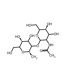 CC(=O)NC1C(OC2C(O)[C@H](O)C(CO)O[C@@H]2C)OC(CO)[C@@H](O)C1O